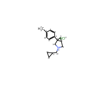 Cc1ccc(C23CC2CN(CC2CC2)C3)cc1.Cl